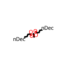 [CH2]C(C)(OC(=O)CCCCCCCCCCCCC)OC(=O)CCCCCCCCCCCCC